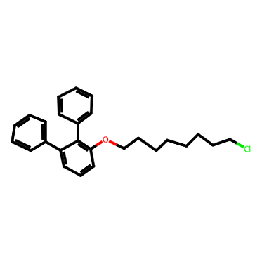 ClCCCCCCCCOc1cccc(-c2ccccc2)c1-c1ccccc1